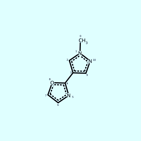 Cn1cc(-c2ncco2)cn1